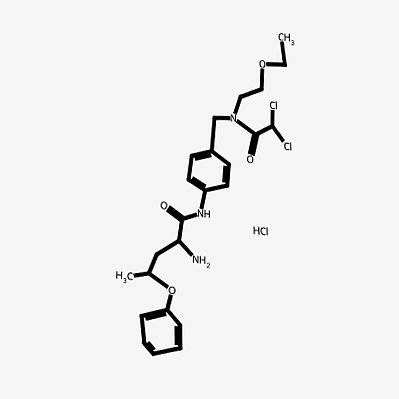 CCOCCN(Cc1ccc(NC(=O)C(N)CC(C)Oc2ccccc2)cc1)C(=O)C(Cl)Cl.Cl